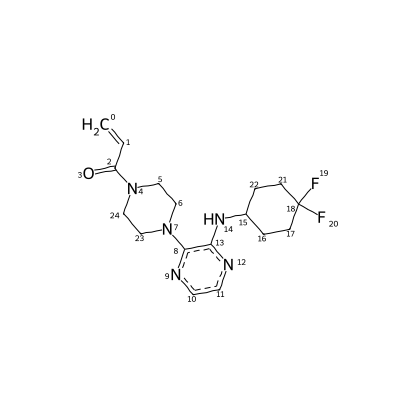 C=CC(=O)N1CCN(c2nccnc2NC2CCC(F)(F)CC2)CC1